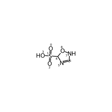 O=S(=O)(O)C1N=[C]NO1